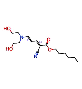 CCCCCCOC(=O)/C(C#N)=C/C=C/N(CCO)CCO